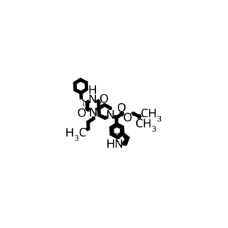 CCCCN1C(=O)[C@H](CC2CCCCC2)NC(=O)C12CCN(C(C(=O)OCC(C)C)c1ccc3[nH]ccc3c1)CC2